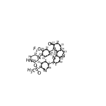 CS(=O)(=O)c1ccc(-c2ccc3ncc4ccc(=O)n(-c5ccc(N6CCNCC6)c(C(F)(F)F)c5)c4c3n2)cn1